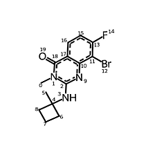 Cn1c(NC2(C)CCC2)nc2c(Br)c(F)ccc2c1=O